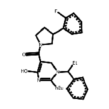 CCCCC1=NC(O)=C(C(=O)N2CCC(c3ccccc3F)C2)CN1C(CC)c1ccccc1